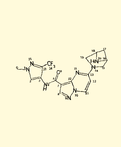 Cn1cc(NC(=O)c2cnn3ccc(N4CC5CC(C4)N5)nc23)c(C(F)(F)F)n1